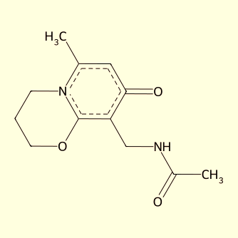 CC(=O)NCc1c2n(c(C)cc1=O)CCCO2